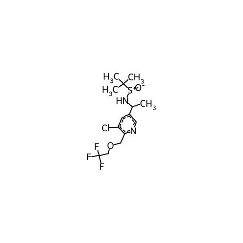 CC(N[S+]([O-])C(C)(C)C)c1cnc(COCC(F)(F)F)c(Cl)c1